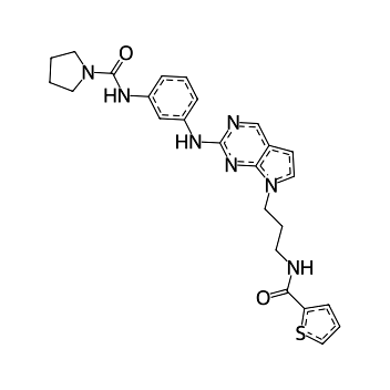 O=C(NCCCn1ccc2cnc(Nc3cccc(NC(=O)N4CCCC4)c3)nc21)c1cccs1